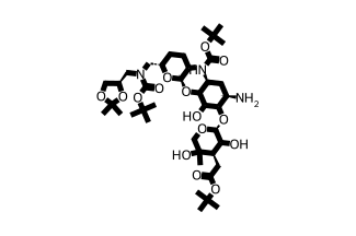 CC1CC[C@@H](CN(C[C@@H]2COC(C)(C)O2)C(=O)OC(C)(C)C)O[C@@H]1OC1C(O)C(O[C@H]2OCC(C)(O)[C@H](CC(=O)OC(C)(C)C)C2O)[C@H](N)C[C@@H]1NC(=O)OC(C)(C)C